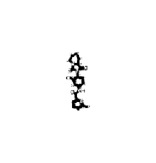 Cc1cccc(C(=O)Nc2ccc(N3C(=O)C4CCCCN4C3=O)c(Cl)c2)n1